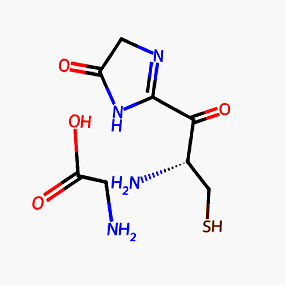 NCC(=O)O.N[C@@H](CS)C(=O)C1=NCC(=O)N1